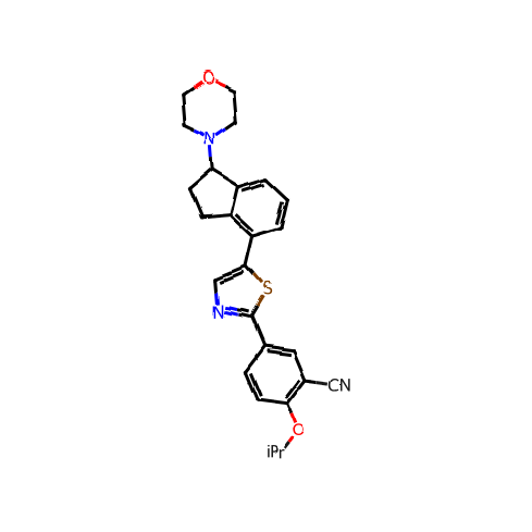 CC(C)Oc1ccc(-c2ncc(-c3cccc4c3CCC4N3CCOCC3)s2)cc1C#N